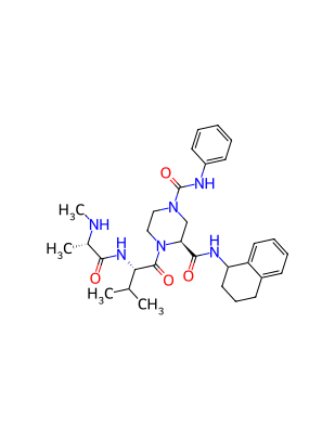 CN[C@@H](C)C(=O)N[C@H](C(=O)N1CCN(C(=O)Nc2ccccc2)C[C@H]1C(=O)NC1CCCc2ccccc21)C(C)C